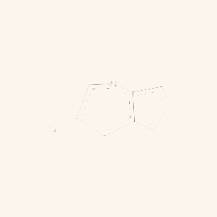 CC(C)(C)c1cnc2cscc2c1